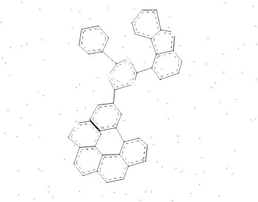 c1ccc(-c2nc(-c3cccc(-c4cccc5ccc6ccc7cnccc7c6c45)c3)nc(-c3cccc4oc5ccccc5c34)n2)cc1